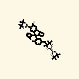 CC1(C)OB(B2OC(C)(C)C(C)(Cc3ccc4c(c3)C3(C5=CCCC=C5c5cc(C#N)c(B6OC(C)(C)C(C)(C)O6)cc53)c3ccccc3S4)O2)OC1(C)C